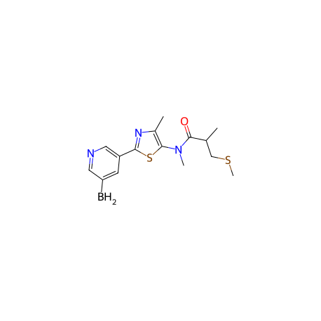 Bc1cncc(-c2nc(C)c(N(C)C(=O)C(C)CSC)s2)c1